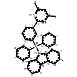 Cc1cc(C)nc(-c2cccc([Si](c3ccccc3)(c3ccccc3)n3c4ccccc4c4ccccc43)c2)n1